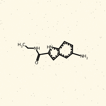 CCNC(=O)c1cc2cc(N)ccc2[nH]1